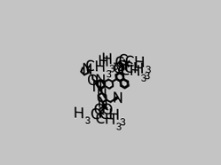 CN1CCC[C@H]1COc1nc2c(c(N3CCN(C(=O)OC(C)(C)C)C(CC#N)C3)n1)CCC(c1cc(O[Si](C)(C)C(C)(C)C)cc3ccccc13)C2